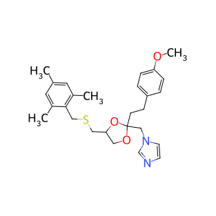 COc1ccc(CCC2(Cn3ccnc3)OCC(CSCc3c(C)cc(C)cc3C)O2)cc1